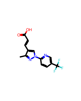 Cc1nn(-c2ccc(C(F)(F)F)cn2)cc1C=CC(=O)O